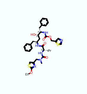 CCOc1nc(CN(C)C(=O)N[C@H](C(=O)N[C@@H](Cc2ccccc2)C[C@H](O)[C@H](Cc2ccccc2)NC(=O)OCc2cncs2)C(C)C)cs1